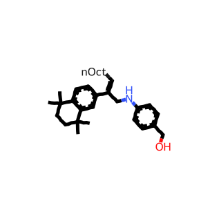 CCCCCCCC/C=C(/CNc1ccc(CO)cc1)c1ccc2c(c1)C(C)(C)CCC2(C)C